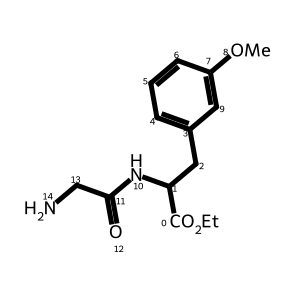 CCOC(=O)C(Cc1cccc(OC)c1)NC(=O)CN